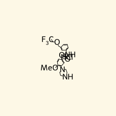 COc1ccc(S(=O)(=O)Nc2cccc(COCC(F)(F)F)c2)cc1N1CCNCC1.Cl